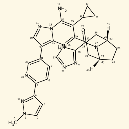 Cn1ccc(-c2ccc(-c3cnn4c(N)c(C5CC5)c(C5C[C@H]6CC[C@@H](C5)N6C(=O)c5nnc[nH]5)nc34)cn2)n1